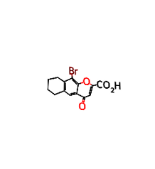 O=C(O)c1cc(=O)c2cc3c(c(Br)c2o1)CCCC3